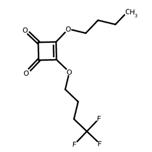 CCCCOc1c(OCCCC(F)(F)F)c(=O)c1=O